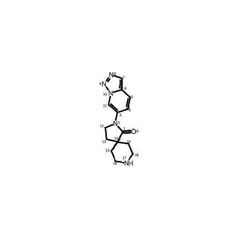 O=C1N(c2ccc3cnnn3c2)CCC12CCNCC2